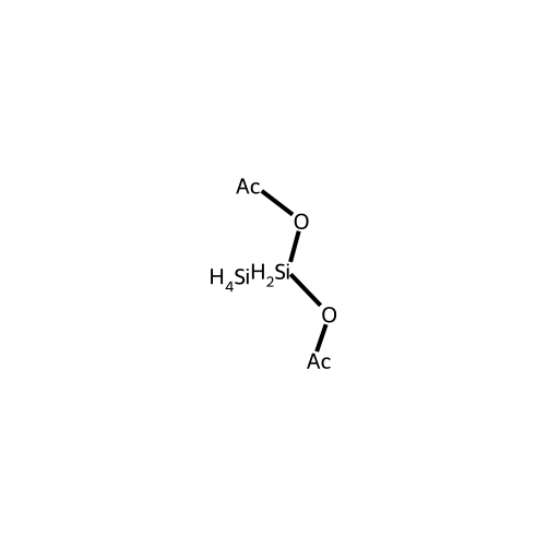 CC(=O)O[SiH2]OC(C)=O.[SiH4]